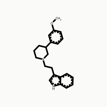 COc1cccc(C2CCCN(CCc3c[nH]c4ccccc34)C2)c1